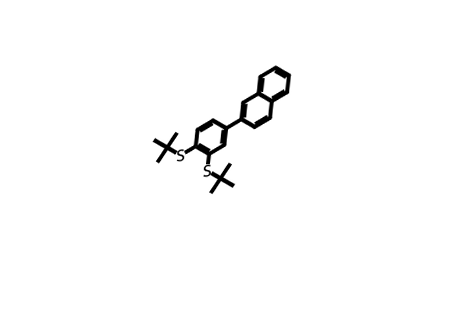 CC(C)(C)Sc1ccc(-c2ccc3ccccc3c2)cc1SC(C)(C)C